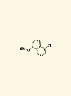 CCC(C)Oc1ccnc2c(Cl)cccc12